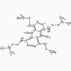 CC(=O)OCOc1ccc(NCCN(C)C)c2c1C(=O)c1c(NCCN(C)C)ccc(OCOC(C)=O)c1C2=O